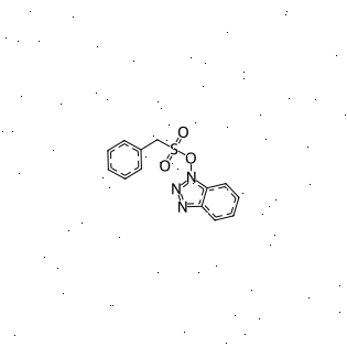 O=S(=O)(Cc1ccccc1)On1nnc2ccccc21